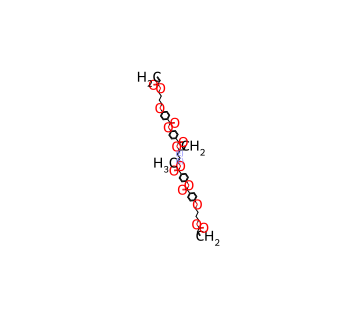 C=CC(=O)OCCCCOc1ccc(C(=O)Oc2ccc(C(=O)O/C(C)=C/C=C(\C=C)OC(=O)c3ccc(OC(=O)c4ccc(OCCCCOC(=O)C=C)cc4)cc3)cc2)cc1